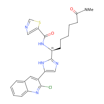 CNC(=O)CCCCC[C@H](NC(=O)c1cncs1)c1ncc(-c2cc3ccccc3nc2Cl)[nH]1